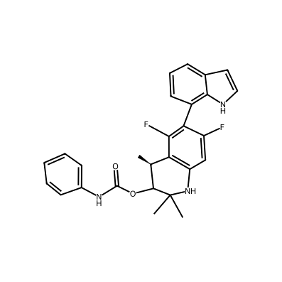 C[C@H]1c2c(cc(F)c(-c3cccc4cc[nH]c34)c2F)NC(C)(C)C1OC(=O)Nc1ccccc1